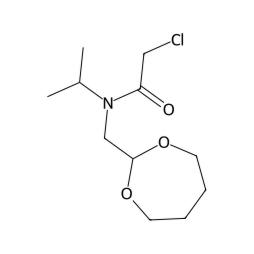 CC(C)N(CC1OCCCCO1)C(=O)CCl